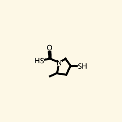 CC1CC(S)CN1C(=O)S